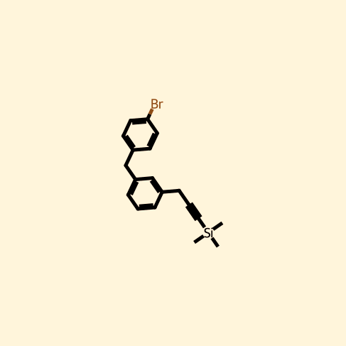 C[Si](C)(C)C#CCc1cccc(Cc2ccc(Br)cc2)c1